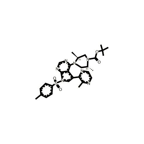 Cc1ccc(S(=O)(=O)n2cc(-c3nccnc3C)c3c(N4C[C@@H](C)N(C(=O)OC(C)(C)C)C[C@@H]4C)ncnc32)cc1